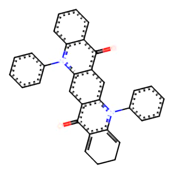 O=c1c2c(n(-c3ccccc3)c3cc4c(=O)c5ccccc5n(-c5ccccc5)c4cc13)=CCCC=2